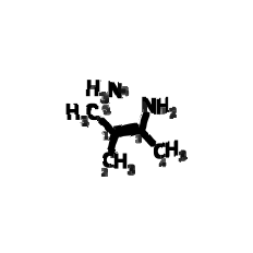 CC(C)=C(C)N.N